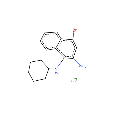 Cl.Nc1cc(Br)c2ccccc2c1NC1CCCCC1